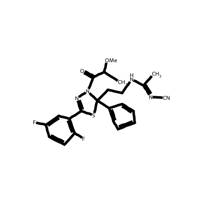 COC(C)C(=O)N1N=C(c2cc(F)ccc2F)SC1(CCNC(C)=NC#N)c1ccccc1